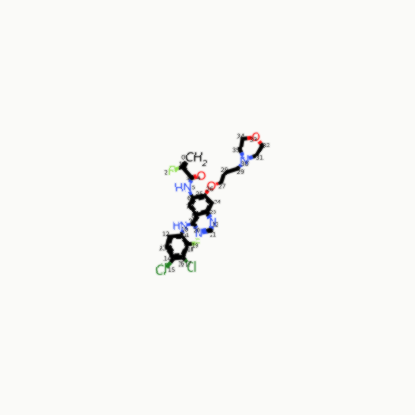 C=C(F)C(=O)Nc1cc2c(Nc3ccc(Cl)c(Cl)c3F)ncnc2cc1OCCCN1CCOCC1